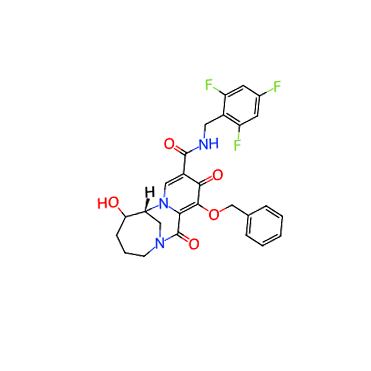 O=C(NCc1c(F)cc(F)cc1F)c1cn2c(c(OCc3ccccc3)c1=O)C(=O)N1CCCC(O)[C@H]2C1